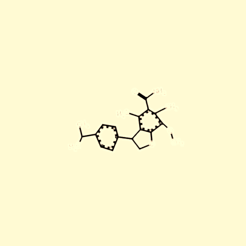 COc1c(C)c(C(N)=O)c(C)c2c1OCC2c1ccc(C(C)C)cc1